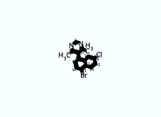 Cc1n[c]nc(C)c1-c1ccc(Br)c2ccc(Cl)cc12